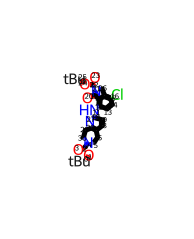 CC(C)(C)OC(=O)N1CCc2ccc(Nc3ccc(Cl)c4c3C(=O)N(C(=O)OC(C)(C)C)C4)nc2CC1